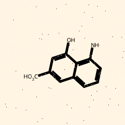 [NH]c1cccc2cc(C(=O)O)cc(O)c12